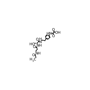 CCC(=O)NCCC(=O)N[C@@H](CO)C(=O)NCCc1ccc(NC(=O)C(=O)O)cc1